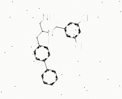 NCC(Cc1ccc(-c2ccccc2)cc1)NCc1cc(Cl)cc(Cl)c1